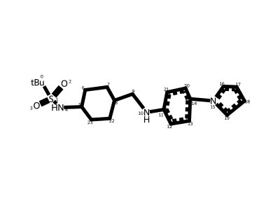 CC(C)(C)S(=O)(=O)NC1CCC(CNc2ccc(-n3cccc3)cc2)CC1